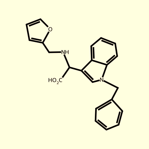 O=C(O)C(NCc1ccco1)c1cn(Cc2ccccc2)c2ccccc12